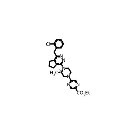 CCOC(=O)c1cnc(N2CCN(c3nnc(Cc4ccccc4Cl)c4c3CCC4)[C@@H](C)C2)cn1